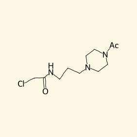 CC(=O)N1CCN(CCCNC(=O)CCl)CC1